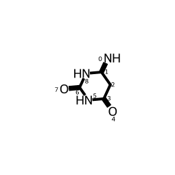 N=C1CC(=O)NC(=O)N1